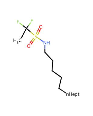 CCCCCCCCCCCCNS(=O)(=O)C(C)(F)F